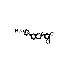 CN1CCN(c2ccc3c(c2)CN(Sc2cc(Cl)cc(Cl)c2)CC3)CC1